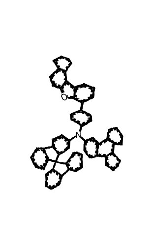 c1ccc2c(c1)-c1ccccc1C21c2ccccc2-c2ccc(N(c3ccc(-c4cccc5c4oc4ccc6ccccc6c45)cc3)c3ccc4c5ccccc5c5ccccc5c4c3)cc21